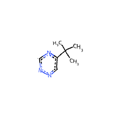 CC(C)(C)c1cnn[c]n1